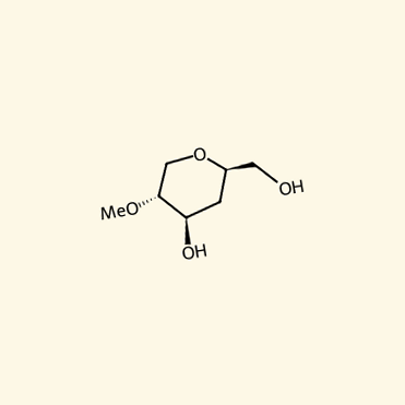 CO[C@@H]1CO[C@@H](CO)C[C@H]1O